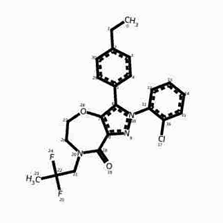 CCc1ccc(-c2c3c(nn2-c2ccccc2Cl)C(=O)N(CC(C)(F)F)CCO3)cc1